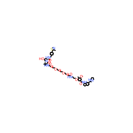 COc1cc(C(=O)N[C@@H]2CCc3ccc(-c4cn5c(n4)CCC5)cc32)cc(OCCCNC(=O)COCCOCCOCCOCCOCC(=O)N[C@H](C(=O)N2C[C@H](O)C[C@H]2C(=O)NCc2ccc(-c3scnc3C)cc2)C(C)(C)C)c1C